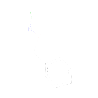 Cl[N]OCc1ccccc1